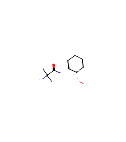 CC(C)(N)C(=O)N[C@@H]1CCCC[C@H]1O[N+](=O)[O-]